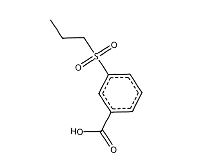 CCCS(=O)(=O)c1cccc(C(=O)O)c1